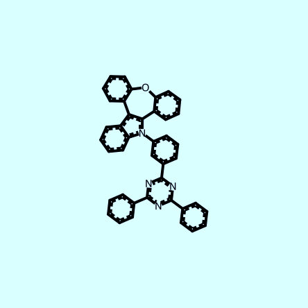 c1ccc(-c2nc(-c3ccccc3)nc(-c3cccc(-n4c5c(c6ccccc64)-c4ccccc4Oc4ccccc4-5)c3)n2)cc1